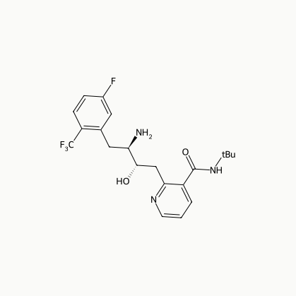 CC(C)(C)NC(=O)c1cccnc1C[C@H](O)[C@H](N)Cc1cc(F)ccc1C(F)(F)F